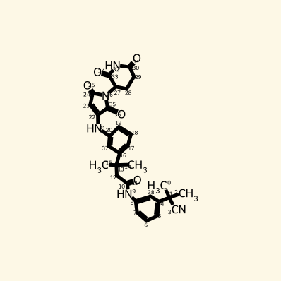 CC(C)(C#N)c1cccc(NC(=O)CC(C)(C)c2cccc(NC3=CC(=O)N(C4CCC(=O)NC4=O)C3=O)c2)c1